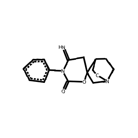 N=C1CC2(CN3CCC2CC3)OC(=O)N1c1ccccc1